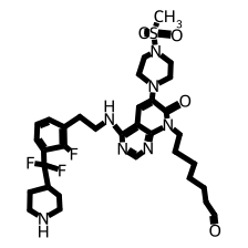 CS(=O)(=O)N1CCN(c2cc3c(NCCc4cccc(C(F)(F)C5CCNCC5)c4F)ncnc3n(CCCCCCC=O)c2=O)CC1